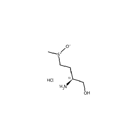 C[S+]([O-])CC[C@H](N)CO.Cl